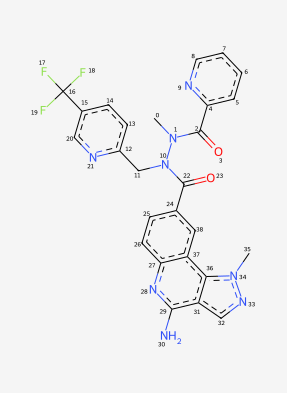 CN(C(=O)c1ccccn1)N(Cc1ccc(C(F)(F)F)cn1)C(=O)c1ccc2nc(N)c3cnn(C)c3c2c1